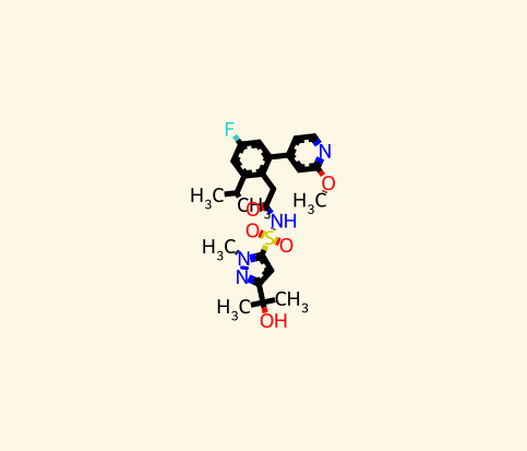 COc1cc(-c2cc(F)cc(C(C)C)c2CC(=O)NS(=O)(=O)c2cc(C(C)(C)O)nn2C)ccn1